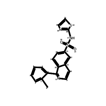 Cc1ccccc1-c1nccc2cc(S(=O)(=O)Nc3nccs3)ccc12